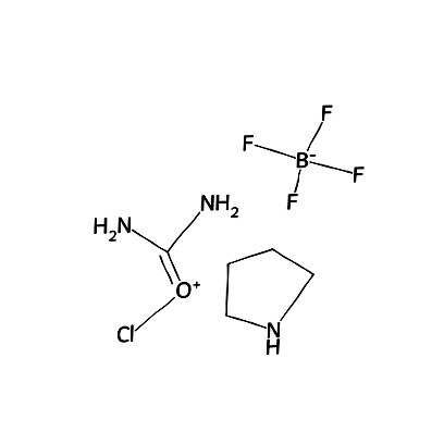 C1CCNC1.F[B-](F)(F)F.NC(N)=[O+]Cl